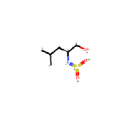 CC(C)C[C@@H](CO)N=S(=O)=O